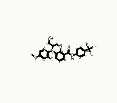 COc1cnc(N2c3cccc(C(=O)Nc4ccc(C(F)(F)F)cc4)c3OCC2CO)c(Cl)c1